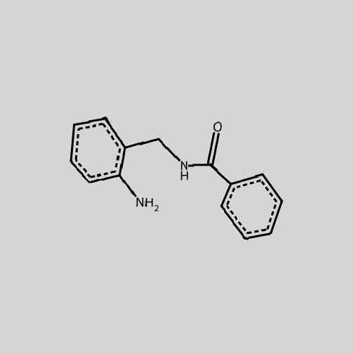 Nc1ccccc1CNC(=O)c1ccccc1